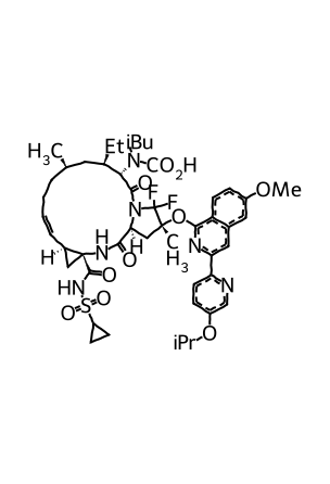 CCC(C)N(C(=O)O)[C@@H]1C(=O)N2[C@@H](C[C@@](C)(Oc3nc(-c4ccc(OC(C)C)cn4)cc4cc(OC)ccc34)C2(F)F)C(=O)N[C@]2(C(=O)NS(=O)(=O)C3CC3)C[C@H]2/C=C\CC[C@@H](C)C[C@H]1CC